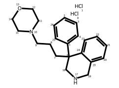 Cl.Cl.c1ccc(C2(CCCN3CCOCC3)CNCc3ccccc32)cc1